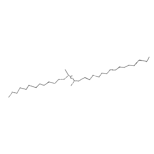 CCCCCCCCCCCCCCCCC(C)CC(C)CCCCCCCCCCCCC